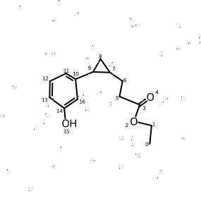 CCOC(=O)CCC1CC1c1cccc(O)c1